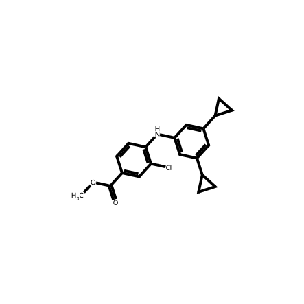 COC(=O)c1ccc(Nc2cc(C3CC3)cc(C3CC3)c2)c(Cl)c1